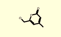 Cc1cc(C[O])oc(=O)c1